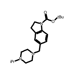 CC(C)N1CCN(Cc2ccc3c(c2)CCN3C(=O)OC(C)(C)C)CC1